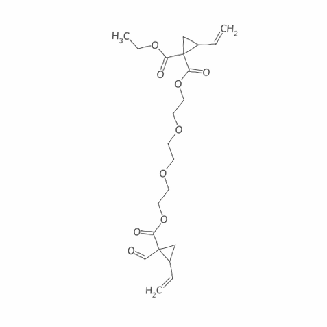 C=CC1CC1(C=O)C(=O)OCCOCCOCCOC(=O)C1(C(=O)OCC)CC1C=C